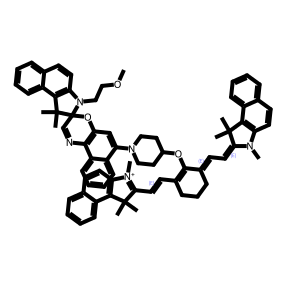 COCCN1c2ccc3ccccc3c2C(C)(C)C12C=Nc1c(cc(N3CCC(OC4=C(/C=C/C5=[N+](C)c6ccc7ccccc7c6C5(C)C)CCC/C4=C\C=C4\N(C)c5ccc6ccccc6c5C4(C)C)CC3)c3ccccc13)O2